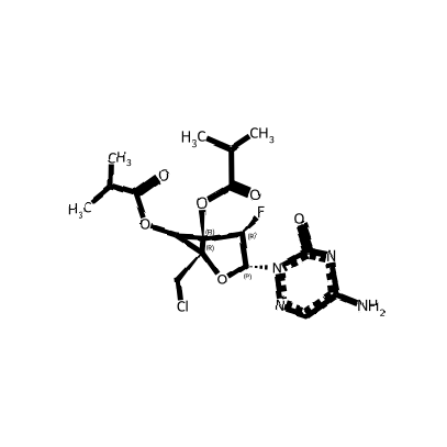 CC(C)C(=O)OC1[C@@]2(CCl)O[C@@H](n3ncc(N)nc3=O)[C@H](F)[C@@]12OC(=O)C(C)C